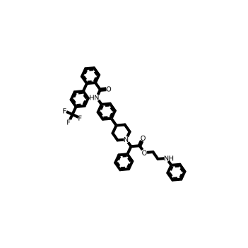 O=C(Nc1ccc(C2CCN(C(C(=O)OCCNc3ccccc3)c3ccccc3)CC2)cc1)c1ccccc1-c1ccc(C(F)(F)F)cc1